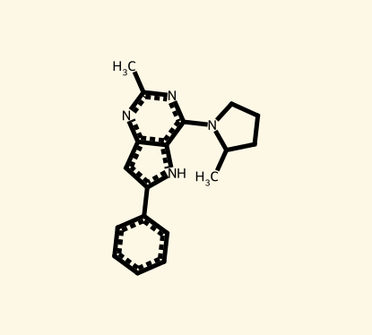 Cc1nc(N2CCCC2C)c2[nH]c(-c3ccccc3)cc2n1